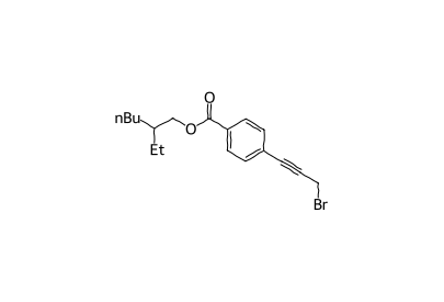 CCCCC(CC)COC(=O)c1ccc(C#CCBr)cc1